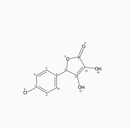 O=C1OC(c2ccc(Cl)cc2)C(O)=C1O